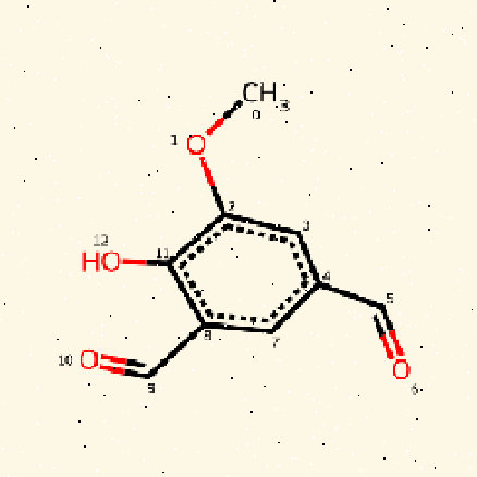 COc1cc(C=O)cc(C=O)c1O